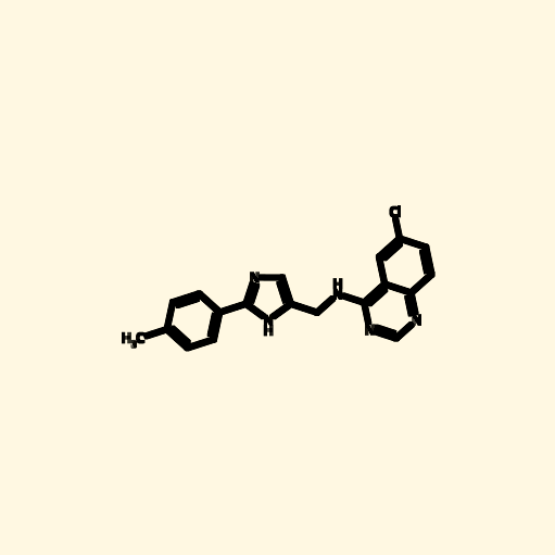 Cc1ccc(-c2ncc(CNc3ncnc4ccc(Cl)cc34)[nH]2)cc1